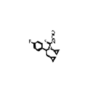 O=C=NC(=S)N(C1CC1)C(CC1CC1)c1ccc(F)cc1